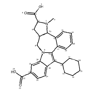 CN1C(C(=O)O)CC2Cn3c(c(C4CCCCC4)c4ccc(C(=O)O)cc43)-c3ccccc3C21